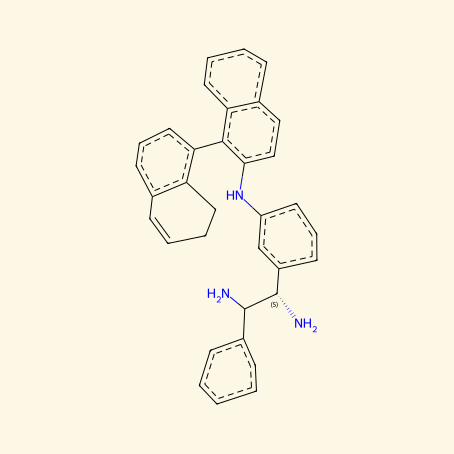 NC(c1ccccc1)[C@@H](N)c1cccc(Nc2ccc3ccccc3c2-c2cccc3c2CCC=C3)c1